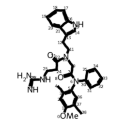 COc1cc(C)c(N(C(=O)CN(CCc2c[nH]c3ccccc23)C(=O)CCNC(=N)N)c2ccccc2)cc1C